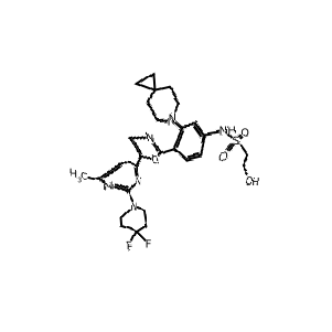 Cc1cc(-c2cnc(-c3ccc(NS(=O)(=O)CCO)cc3N3CCC4(CC3)CC4)o2)nc(N2CCC(F)(F)CC2)n1